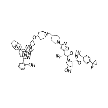 CC(C)[C@@H](C(=O)N1C[C@H](O)C[C@H]1C(=O)N[C@@H](C)c1ccc(C2(F)CC2)cc1)c1cc(N2CCC(CN3CCC(O[C@H]4C[C@H](Oc5cc(N6C7CCC6CN(c6cc(-c8ccccc8O)nnc6N)C7)ccn5)C4)CC3)CC2)no1